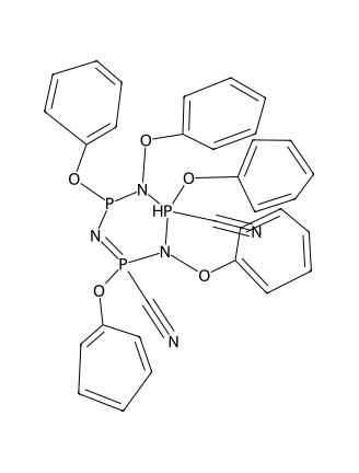 N#CP1(Oc2ccccc2)=NP(Oc2ccccc2)N(Oc2ccccc2)[PH](C#N)(Oc2ccccc2)N1Oc1ccccc1